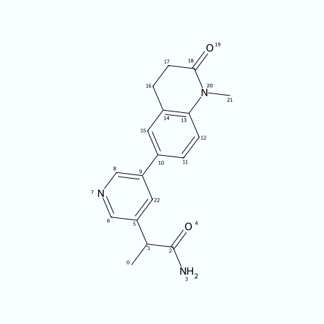 C[C](C(N)=O)c1cncc(-c2ccc3c(c2)CCC(=O)N3C)c1